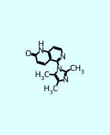 Cc1nc(C)n(-c2nccc3[nH]c(=O)ccc23)c1C